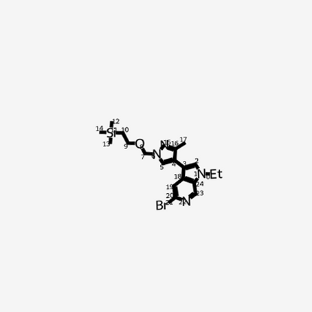 CCn1cc(-c2cn(COCC[Si](C)(C)C)nc2C)c2cc(Br)ncc21